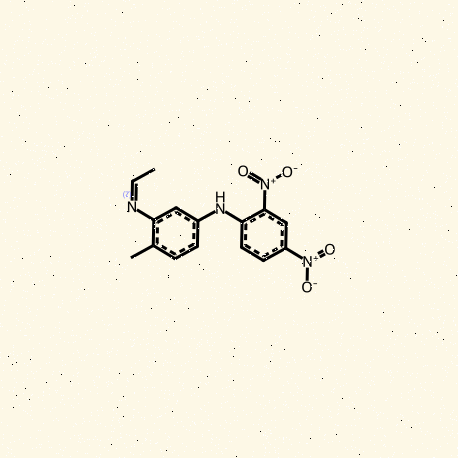 C/C=N\c1cc(Nc2ccc([N+](=O)[O-])cc2[N+](=O)[O-])ccc1C